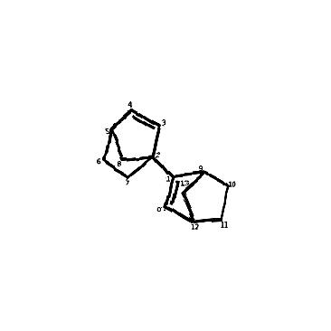 [C]1=C(C23C=CC(CC2)C3)C2CCC1C2